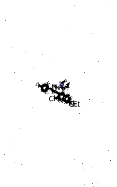 C/C=C\C(=C/C)N1N=C(c2ccc(I)cc2)CC1c1cc2ccc(OCC)cc2nc1Cl